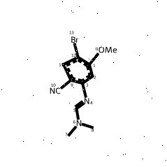 COc1cc(/N=C/N(C)C)c(C#N)cc1Br